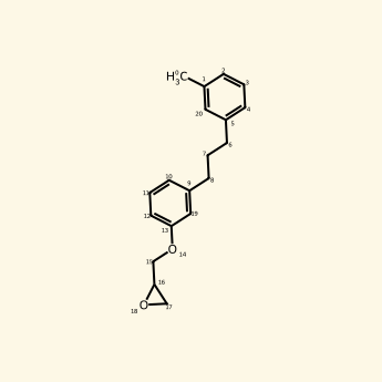 Cc1cccc(CCCc2cccc(OCC3CO3)c2)c1